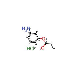 CCC(=O)Oc1cccc(N)c1.Cl